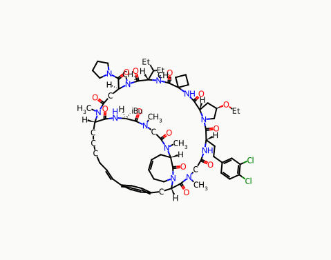 CCO[C@@H]1C[C@H]2C(=O)NC3(CCC3)C(=O)N(C)[C@@H](C(CC)CC)C(=O)N(C)[C@H](C(=O)N3CCCC3)CC(=O)N(C)[C@H]3CCCC/C=C/c4ccc(cc4)C[C@@H](C(=O)N(C)CC(=O)N[C@@H](CCc4ccc(Cl)c(Cl)c4)C(=O)N2C1)N1CC/C=C\C[C@@H](C1=O)N(C)C(=O)CN(C)C(=O)[C@H]([C@@H](C)CC)NC3=O